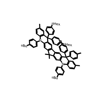 CCCCCCc1ccc(C2(c3ccc(CCCCCC)cc3)c3cc(C)ccc3N(c3ccc(CCCC)cc3)c3cc4c(cc32)-c2cc3c(cc2C4(C)C)N(c2ccc(CCCC)cc2)c2ccc(C)cc2C3(c2ccc(C)cc2)c2ccc(C)cc2)cc1